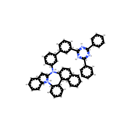 c1ccc(-c2nc(-c3ccccc3)nc(-c3cccc(-c4cccc(N5c6ccc7ccccc7c6-c6ccccc6-n6c5cc5ccccc56)c4)c3)n2)cc1